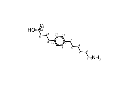 NCCCCCCc1ccc(CCCC(=O)O)cc1